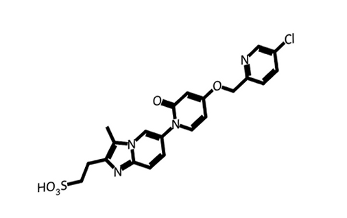 Cc1c(CCS(=O)(=O)O)nc2ccc(-n3ccc(OCc4ccc(Cl)cn4)cc3=O)cn12